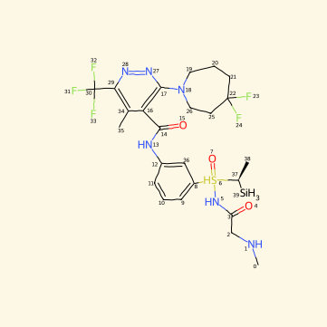 CNCC(=O)N[SH](=O)(c1cccc(NC(=O)c2c(N3CCCC(F)(F)CC3)nnc(C(F)(F)F)c2C)c1)[C@@H](C)[SiH3]